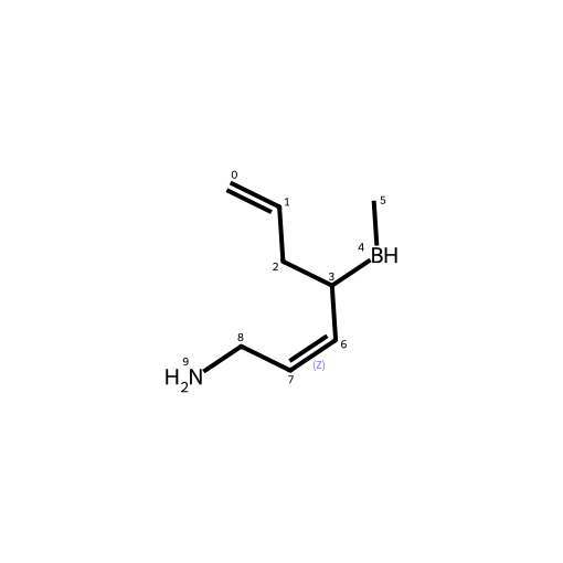 C=CCC(BC)/C=C\CN